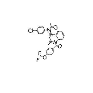 CC(=O)N(c1ccc(Cl)cc1)[C@@H]1C[C@H](C)N(C(=O)c2ccc(OC(F)F)cc2)c2ccccc21